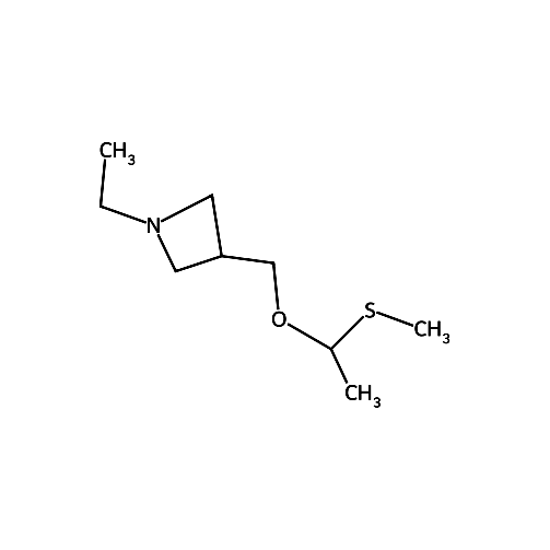 CCN1CC(COC(C)SC)C1